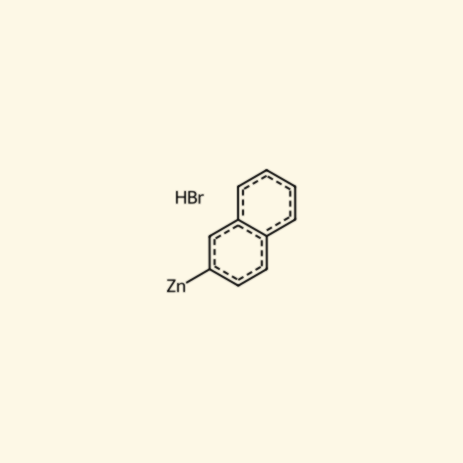 Br.[Zn][c]1ccc2ccccc2c1